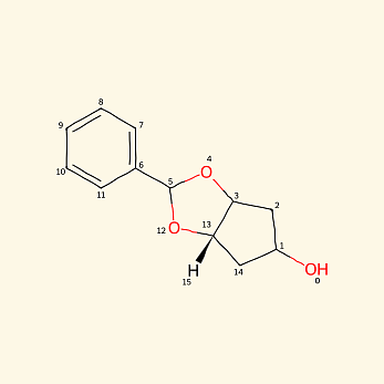 OC1CC2OC(c3ccccc3)O[C@H]2C1